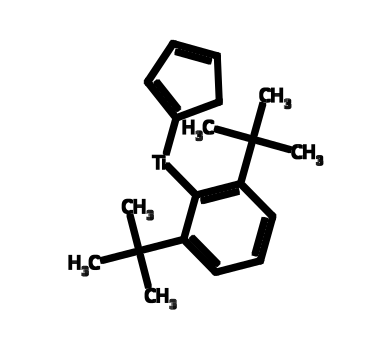 CC(C)(C)c1cccc(C(C)(C)C)[c]1[Ti][C]1=CC=CC1